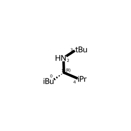 CCC(C)[C@H](NC(C)(C)C)C(C)C